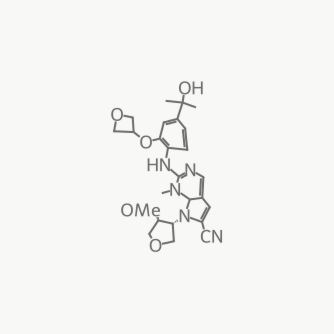 CO[C@@H]1COC[C@H]1N1C(C#N)=CC2=CN=C(Nc3ccc(C(C)(C)O)cc3OC3COC3)N(C)C21